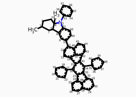 CC1CCC2(C)C(C1)c1cc(-c3ccc4c5c(-c6ccccc6)c6c7cccc8cccc(c6c(-c6ccccc6)c5c5cccc3c54)c87)ccc1N2c1ccccc1